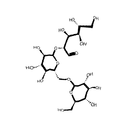 O=C[C@H](OC1O[C@H](COC2O[C@H](CO)[C@@H](O)[C@H](O)[C@H]2O)[C@@H](O)[C@H](O)[C@H]1O)[C@@H](O)[C@H](O)[C@H](O)CO